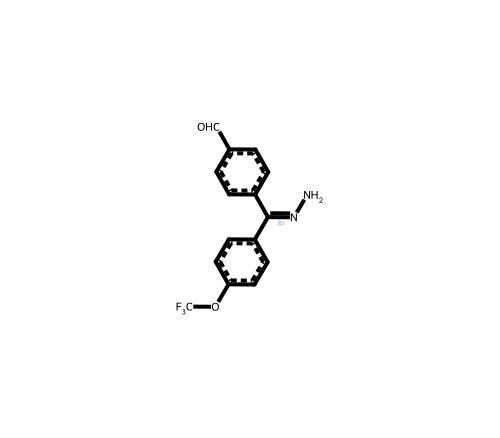 N/N=C(\c1ccc(C=O)cc1)c1ccc(OC(F)(F)F)cc1